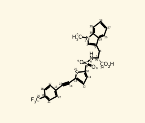 Cn1cc(C[C@@H](NS(=O)(=O)c2ccc(C#Cc3ccc(C(F)(F)F)cc3)s2)C(=O)O)c2ccccc21